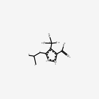 CC(C)Cc1noc(C(=O)F)c1C(F)(F)F